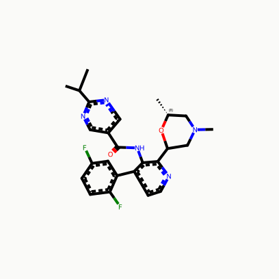 CC(C)c1ncc(C(=O)Nc2c(-c3cc(F)ccc3F)ccnc2C2CN(C)C[C@@H](C)O2)cn1